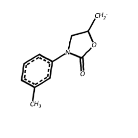 [CH2]C1CN(c2cccc(C)c2)C(=O)O1